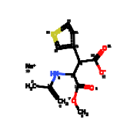 C=C(C)NC(C(=O)OC)C(C(=O)[O-])c1ccsc1.[Na+]